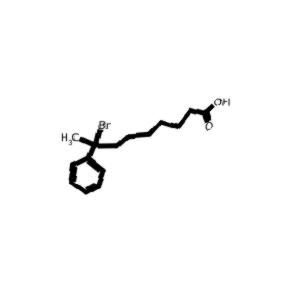 CC(Br)(CCCCCCC(=O)O)c1ccccc1